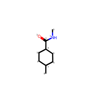 CNC(=O)C1CC[C](C)CC1